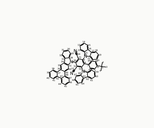 CC(C)(C)c1ccc(-c2c(-n3c4ccccc4c4ccccc43)c(C#N)c(-n3c4ccccc4c4cc5c6ccccc6c6ccccc6c5cc43)c(C#N)c2-n2c3ccccc3c3ccccc32)cc1